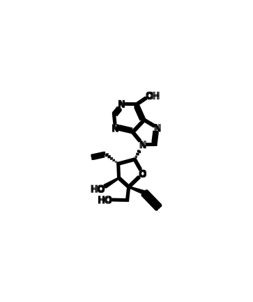 C#C[C@]1(CO)O[C@@H](n2cnc3c(O)ncnc32)[C@@H](C=C)[C@@H]1O